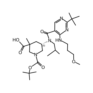 COCCCNc1nc(C(C)(C)C)ncc1C(=O)N(CC(C)C)[C@@H]1CN(C(=O)OC(C)(C)C)CC(C)(C(=O)O)C1